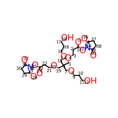 O=C(CCOCC(COCCCO)(COCCCO)COCCC(=O)ON1C(=O)CCC1=O)ON1C(=O)CCC1=O